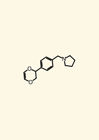 C1=COC(c2ccc(CN3CCCC3)cc2)CO1